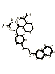 NC(=O)C1CCCCC1C(=O)N(OC(=O)C(F)(F)F)c1ccc(CCOc2ccc3ncccc3c2)cc1